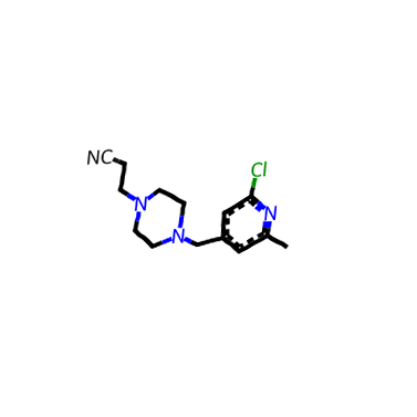 Cc1cc(CN2CCN(CCC#N)CC2)cc(Cl)n1